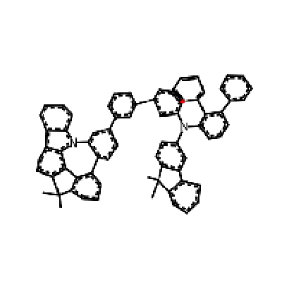 CC1(C)c2ccccc2-c2cc(N(c3c#ccc(-c4cccc(-c5ccc6c(c5)-n5c7ccccc7c7ccc8c(c75)-c5c-6cccc5C8(C)C)c4)c3)c3cccc(-c4ccccc4)c3C3=CC=CCC3)ccc21